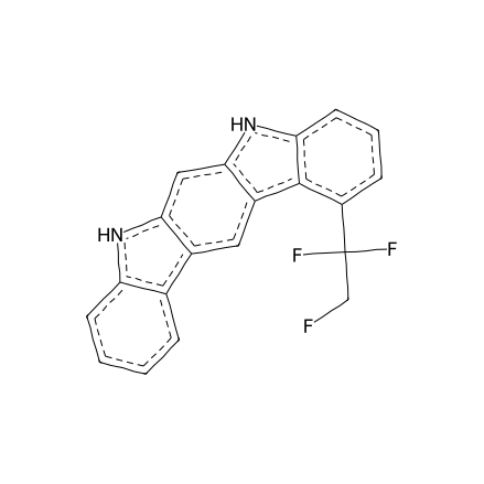 FCC(F)(F)c1cccc2[nH]c3cc4[nH]c5ccccc5c4cc3c12